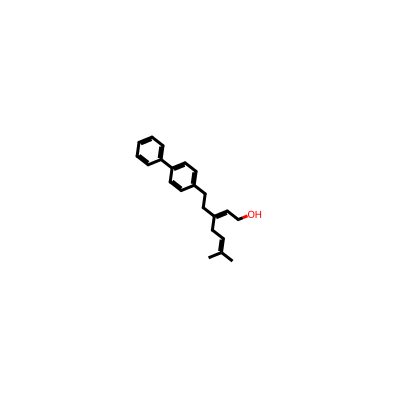 CC(C)=CCC(=CCO)CCc1ccc(-c2ccccc2)cc1